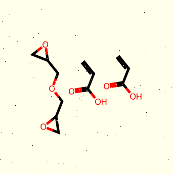 C(OCC1CO1)C1CO1.C=CC(=O)O.C=CC(=O)O